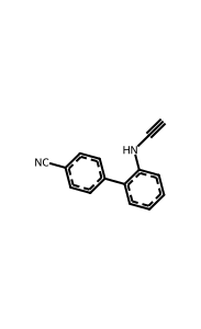 C#CNc1ccccc1-c1ccc(C#N)cc1